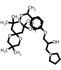 CC(ON1C(C)(C)CC2(CC1(C)C)OCC(C)(C)CO2)c1ccc(OCC(O)CN2CCCC2)cc1